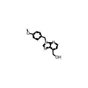 COc1ccc(Cn2cnc3c(CO)ccnc32)cc1